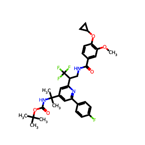 COc1cc(C(=O)NCC(c2cc(C(C)(C)NC(=O)OC(C)(C)C)cc(-c3ccc(F)cc3)n2)C(F)(F)F)ccc1OC1CC1